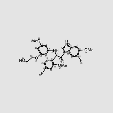 COc1cc(NC(C(=O)c2c[nH]c3cc(OC)c(F)cc23)c2ccc(F)cc2OC)cc(OCCO)c1